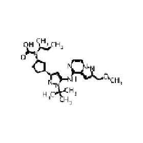 CC[C@H](C)N(C(=O)O)[C@@H]1CC[C@H](c2cc(Nc3nccn4nc(COC)cc34)n(C(C)(C)C)n2)C1